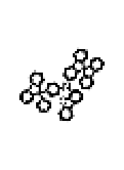 c1ccc(C2(c3ccc(N(c4ccc5c(c4)C4(c6ccccc6-c6ccccc64)c4ccccc4-5)c4cccc5c4oc4ccccc45)cc3)c3ccccc3-c3ccccc32)cc1